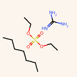 CCCCCCC.CCOS(=O)(=O)OCC.N=C(N)N